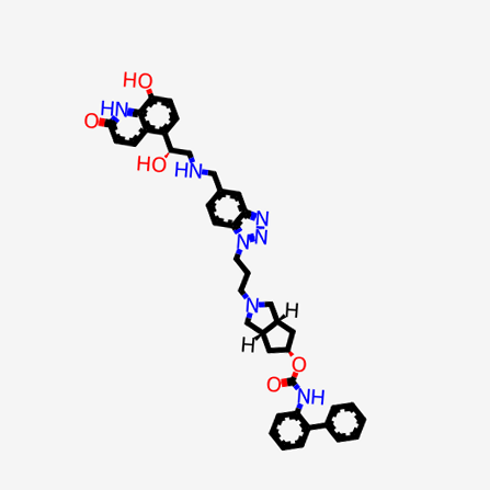 O=C(Nc1ccccc1-c1ccccc1)O[C@H]1C[C@@H]2CN(CCCn3nnc4cc(CNC[C@H](O)c5ccc(O)c6[nH]c(=O)ccc56)ccc43)C[C@@H]2C1